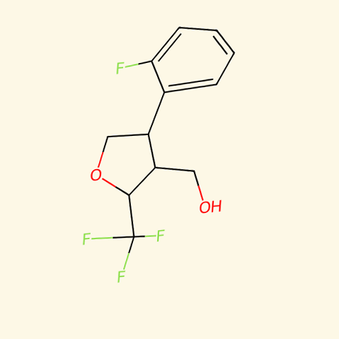 OCC1C(c2ccccc2F)COC1C(F)(F)F